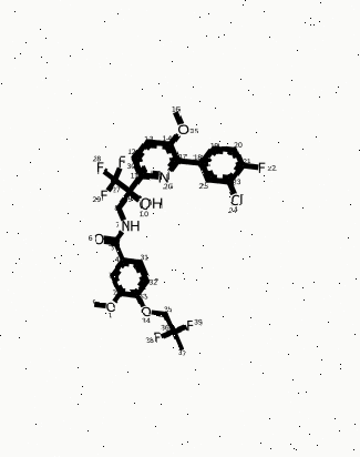 COc1cc(C(=O)NCC(O)(c2ccc(OC)c(-c3ccc(F)c(Cl)c3)n2)C(F)(F)F)ccc1OCC(C)(F)F